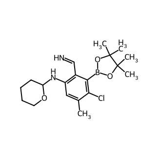 Cc1cc(NC2CCCCO2)c(C=N)c(B2OC(C)(C)C(C)(C)O2)c1Cl